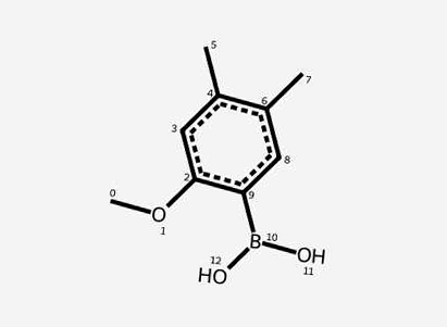 COc1cc(C)c(C)cc1B(O)O